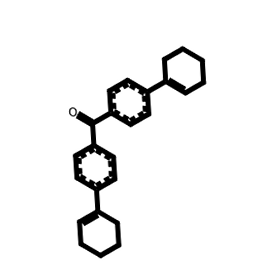 O=C(c1ccc(C2=CCCCC2)cc1)c1ccc(C2=CCCCC2)cc1